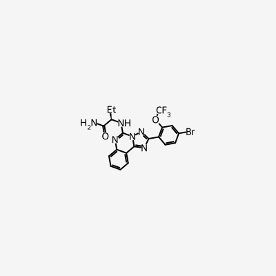 CC[C@@H](Nc1nc2ccccc2c2nc(-c3ccc(Br)cc3OC(F)(F)F)nn12)C(N)=O